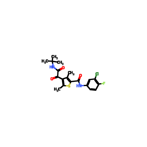 Cc1sc(C(=O)Nc2ccc(F)c(Cl)c2)c(C)c1C(=O)C(=O)NC(C)(C)C